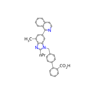 CCCc1nc2c(C)cc(-c3nccc4ccccc34)cc2n1Cc1ccc(-c2ccccc2C(=O)O)cc1